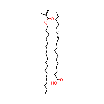 C=C(C)C(=O)OCCCCCCCCCCCCCCCCCC.CCCCCCC=CCCCCCCCCCC(=O)O